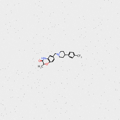 CC1Oc2ccc(CN3CCC(c4ccc(C(F)(F)F)cc4)CC3)cc2NC1=O